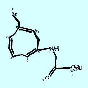 CC(C)COC(=O)Nc1cccc(Br)c1